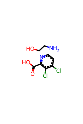 NCCO.O=C(O)c1nccc(Cl)c1Cl